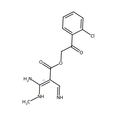 CN/C(N)=C(\C=N)C(=O)OCC(=O)c1ccccc1Cl